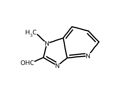 Cn1c(C=O)nc2ncccc21